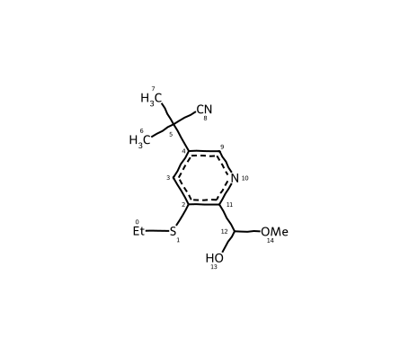 CCSc1cc(C(C)(C)C#N)cnc1C(O)OC